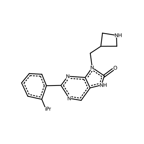 CC(C)c1ccccc1-c1ncc2[nH]c(=O)n(CC3CNC3)c2n1